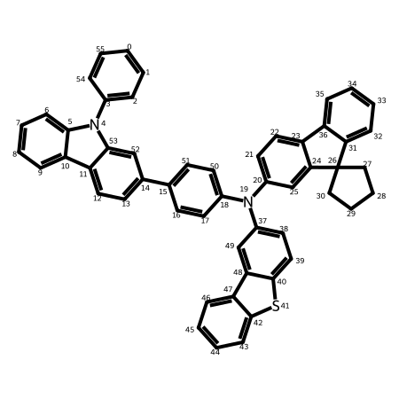 c1ccc(-n2c3ccccc3c3ccc(-c4ccc(N(c5ccc6c(c5)C5(CCCC5)c5ccccc5-6)c5ccc6sc7ccccc7c6c5)cc4)cc32)cc1